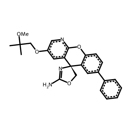 COC(C)(C)COc1cnc2c(c1)[C@]1(COC(N)=N1)c1cc(-c3ccccc3)ccc1O2